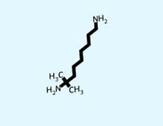 CC(C)(N)CCCCCCCN